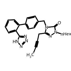 CC#CCc1nn(CCCCCC)c(=O)n1Cc1ccc(-c2ccccc2-c2nnn[nH]2)cc1